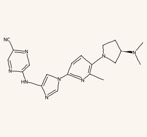 Cc1nc(-n2cnc(Nc3cnc(C#N)cn3)c2)ccc1N1CC[C@@H](N(C)C)C1